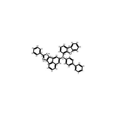 c1ccc(-c2ccc(N(c3cc4c5c(cccc5c3)-c3nc(-c5ccccc5)sc3-4)c3cccc4c3oc3ccccc34)cc2)cc1